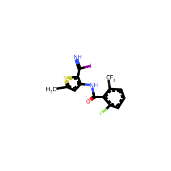 Cc1cc(NC(=O)c2c(F)cccc2C(F)(F)F)c(C(=N)I)s1